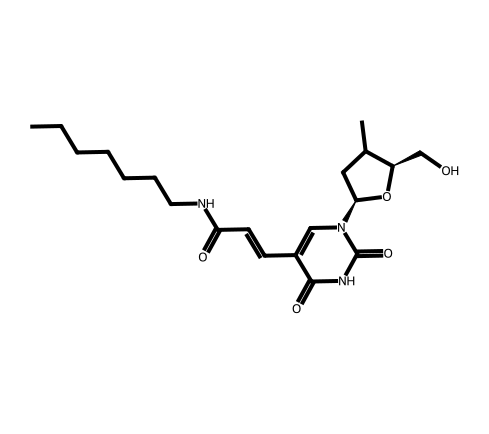 CCCCCCCNC(=O)/C=C/c1cn([C@H]2CC(C)[C@@H](CO)O2)c(=O)[nH]c1=O